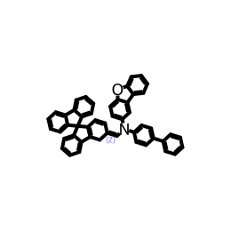 C1=C/C(=C\N(c2ccc(-c3ccccc3)cc2)c2ccc3oc4ccccc4c3c2)CC2=C1C1(c3ccccc32)c2ccccc2-c2ccccc21